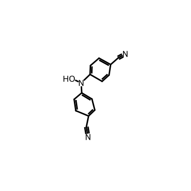 N#Cc1ccc(N(O)c2ccc(C#N)cc2)cc1